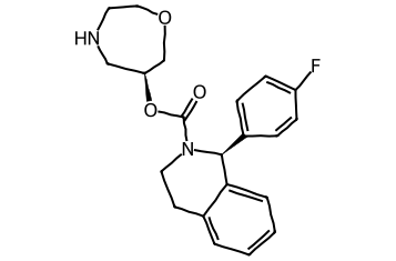 O=C(O[C@H]1CNCCOC1)N1CCc2ccccc2[C@@H]1c1ccc(F)cc1